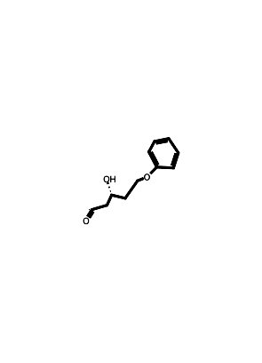 O=[C]C[C@H](O)CCOc1ccccc1